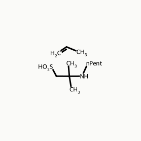 C=CC.CCCCCNC(C)(C)CS(=O)(=O)O